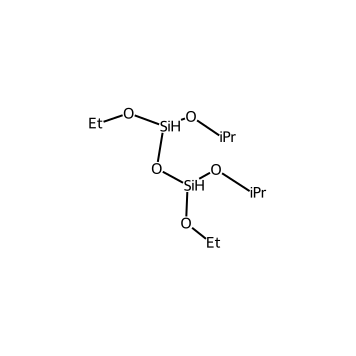 CCO[SiH](OC(C)C)O[SiH](OCC)OC(C)C